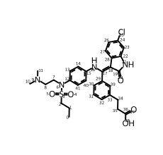 CCCS(=O)(=O)N(CCN(C)C)c1ccc(NC(=C2C(=O)Nc3cc(Cl)ccc32)c2cccc(CCC(=O)O)c2)cc1